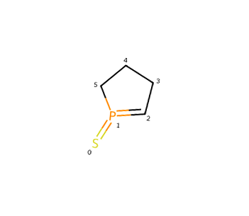 S=P1=CCCC1